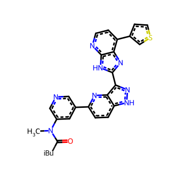 CCC(C)C(=O)N(C)c1cncc(-c2ccc3[nH]nc(-c4nc5c(-c6ccsc6)ccnc5[nH]4)c3n2)c1